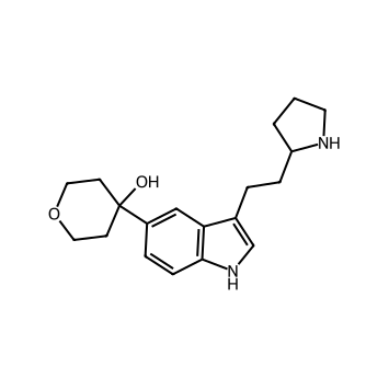 OC1(c2ccc3[nH]cc(CCC4CCCN4)c3c2)CCOCC1